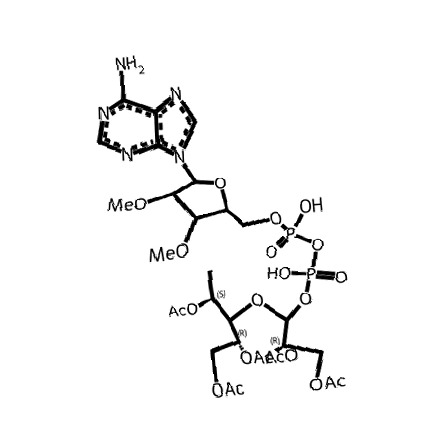 COC1C(COP(=O)(O)OP(=O)(O)OC(OC([C@H](C)OC(C)=O)[C@@H](COC(C)=O)OC(C)=O)[C@@H](COC(C)=O)OC(C)=O)OC(n2cnc3c(N)ncnc32)C1OC